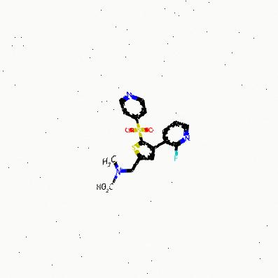 CN(Cc1cc(-c2cccnc2F)c(S(=O)(=O)c2ccncc2)s1)C(=O)O